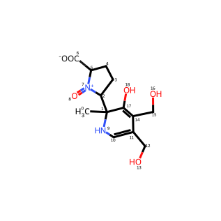 CC1(C2CCC(C(=O)[O-])[N+]2=O)NC=C(CO)C(CO)=C1O